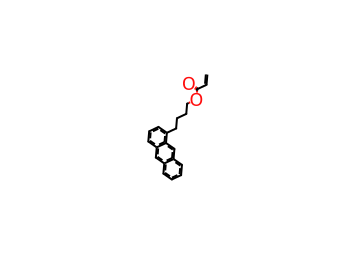 C=CC(=O)OCCCCc1cccc2cc3ccccc3cc12